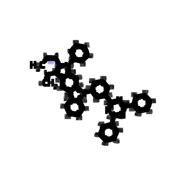 C=Cc1c(/C=C\C)n(-c2ccccc2)c2cc3c(cc12)c1ccccc1n3-c1cccc(-c2nc(-c3ccccc3)nc(-c3ccccc3)n2)c1